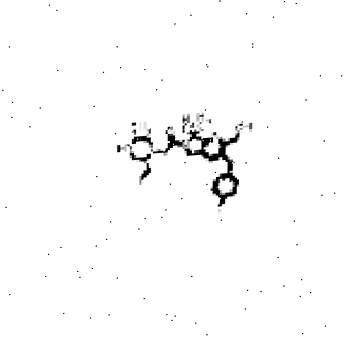 C[C@@H]1CN(CC(=O)N2Cc3cc(Cc4ccc(F)cc4)c(CO)nc3C2(C)C)[C@@H](CI)CN1